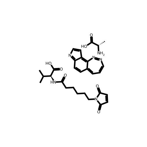 CC(C)[C@H](NC(=O)CCCCCN1C(=O)C=CC1=O)C(=O)O.C[C@H](N)C(=O)O.c1cnnc2c(c1)ccc1nccc12